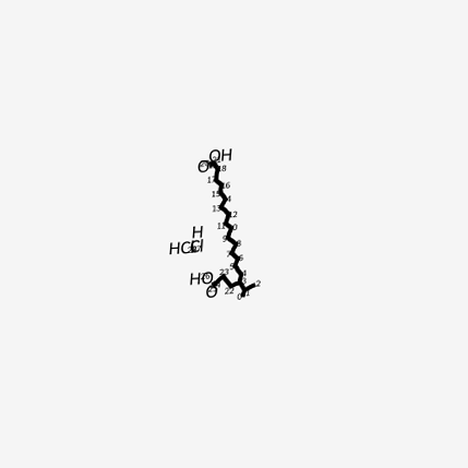 CC(C)C(CCCCCCCCCCCCCCCC(=O)O)CCC(=O)O.Cl.Cl